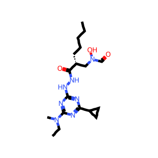 CCCCC[C@H](CN(O)C=O)C(=O)NNc1nc(C2CC2)nc(N(C)CC)n1